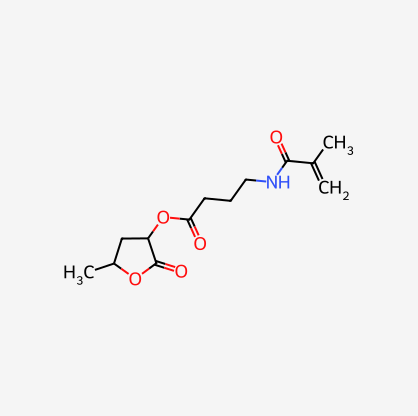 C=C(C)C(=O)NCCCC(=O)OC1CC(C)OC1=O